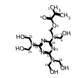 C=C(C)C(=O)OCN(CO)c1nc(N(CO)CO)nc(N(CO)CO)n1